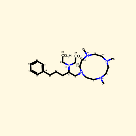 CN1CCN(C)CCN(CC(CCCc2ccccc2)N(CC(=O)O)CC(=O)O)CCN(C)CC1